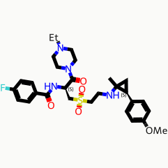 CCN1CCN(C(=O)[C@@H](CS(=O)(=O)CCNC2(C)C[C@H]2c2ccc(OC)cc2)NC(=O)c2ccc(F)cc2)CC1